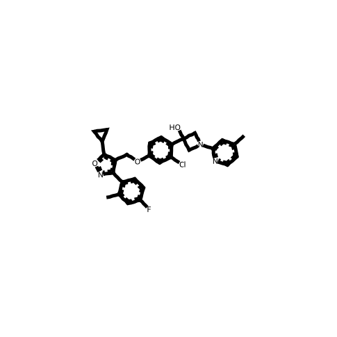 Cc1ccnc(N2CC(O)(c3ccc(OCc4c(-c5ccc(F)cc5C)noc4C4CC4)cc3Cl)C2)c1